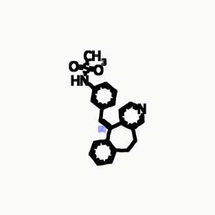 CS(=O)(=O)Nc1cccc(/C=C2/c3ccccc3CCc3cnccc32)c1